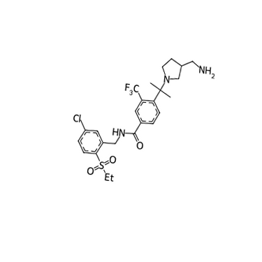 CCS(=O)(=O)c1ccc(Cl)cc1CNC(=O)c1ccc(C(C)(C)N2CCC(CN)C2)c(C(F)(F)F)c1